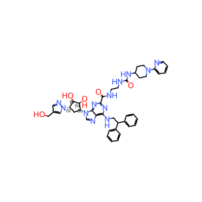 O=C(NCCNC(=O)c1nc(NCC(c2ccccc2)c2ccccc2)c2ncn([C@@H]3C[C@H](n4cc(CO)cn4)[C@@H](O)[C@H]3O)c2n1)NC1CCN(c2ccccn2)CC1